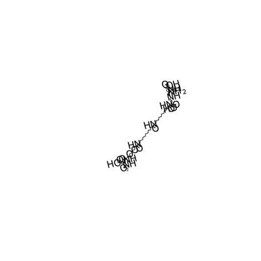 CCC(=O)NC(CC(=O)O)C(=O)NCCOCCOCC(=O)NCCCCCCCCCCC(=O)NCCCCCCCCCCC(=O)NC(CCN/C=C(/CC(C)(C)C(=O)O)NN)C(=O)O